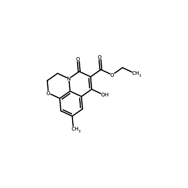 CCOC(=O)c1c(O)c2cc(C)cc3c2n(c1=O)CCO3